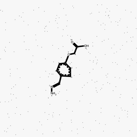 NN=Cc1ccc(OCC(=O)O)cc1